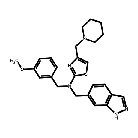 COc1cccc(CN(Cc2ccc3cn[nH]c3c2)c2nc(CN3CCCCC3)cs2)c1